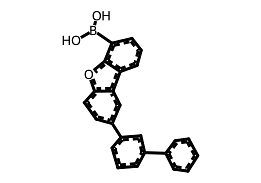 OB(O)c1cccc2c1oc1ccc(-c3cccc(-c4ccccc4)c3)cc12